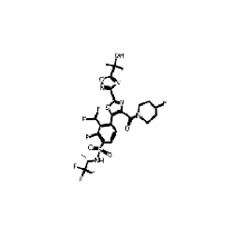 C[C@H](NS(=O)(=O)c1ccc(-c2sc(-c3noc(C(C)(C)O)n3)nc2C(=O)N2CCC(F)CC2)c(C(F)F)c1F)C(F)(F)F